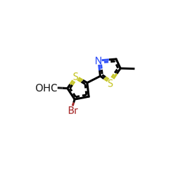 Cc1cnc(-c2cc(Br)c(C=O)s2)s1